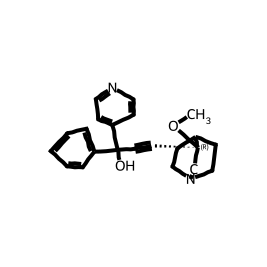 CO[C@]1(C#CC(O)(c2ccccc2)c2ccncc2)CN2CCC1CC2